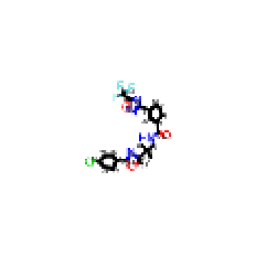 CC(C)(CNC(=O)c1cccc(-c2noc(C(F)(F)F)n2)c1)c1coc(-c2ccc(Cl)cc2)n1